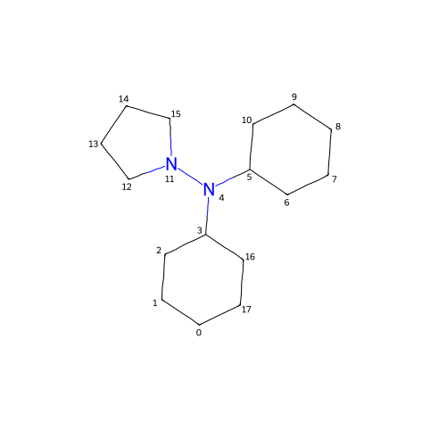 C1CCC(N(C2CCCCC2)N2CCCC2)CC1